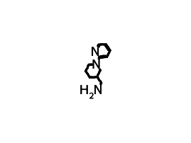 NCC1CCCN(c2ccccn2)C1